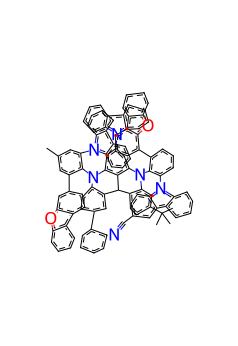 Cc1cc(-c2ccc3c(c2)oc2ccccc23)c(N2c3ccc(-c4ccccc4)cc3C3c4ccc(C(C)(C)C)cc4N(c4c(-c5cccc6c5oc5ccccc56)cccc4-n4c5ccccc5c5cc(C#N)ccc54)c4cc(-n5c6ccccc6c6ccccc65)cc2c43)c(-n2c3ccccc3c3ccccc32)c1